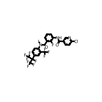 O=C(Nc1cccc(C(=O)N(I)c2ccc(C(F)(C(F)(F)F)C(F)(F)F)cc2C(F)(F)F)c1F)c1ccc(Cl)nc1